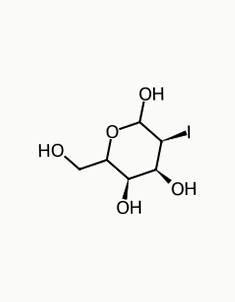 OCC1OC(O)[C@@H](I)[C@@H](O)[C@H]1O